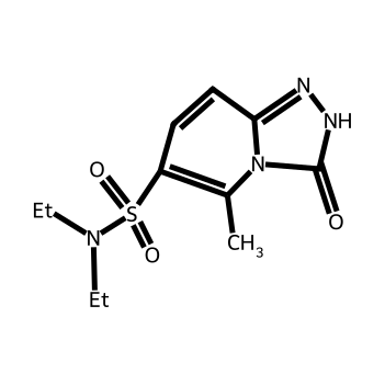 CCN(CC)S(=O)(=O)c1ccc2n[nH]c(=O)n2c1C